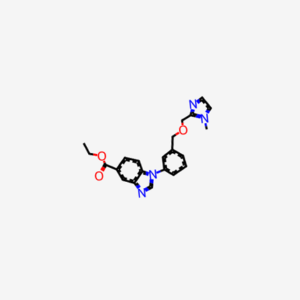 CCOC(=O)c1ccc2c(c1)ncn2-c1cccc(COCc2nccn2C)c1